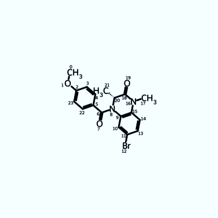 COc1ccc(C(=O)N2c3cc(Br)ccc3N(C)C(=O)[C@H]2C)cc1